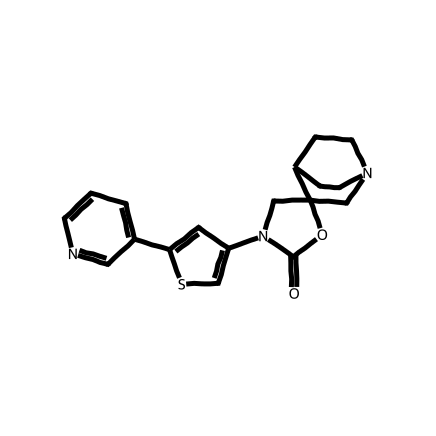 O=C1OC2(CN3CCC2CC3)CN1c1csc(-c2cccnc2)c1